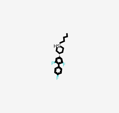 CCCCC[Si@H]1CC[C@H](c2cc(F)c(-c3ccc(F)cc3)c(F)c2)CC1